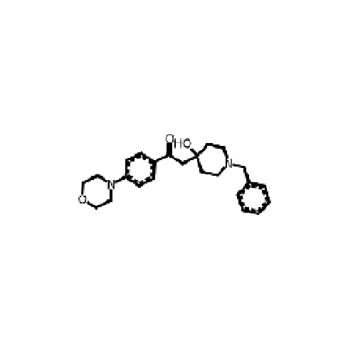 O=C(CC1(O)CCN(Cc2ccccc2)CC1)c1ccc(N2CCOCC2)cc1